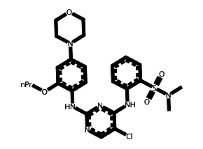 CCCOc1cc(N2CCOCC2)ccc1Nc1ncc(Cl)c(Nc2ccccc2S(=O)(=O)N(C)C)n1